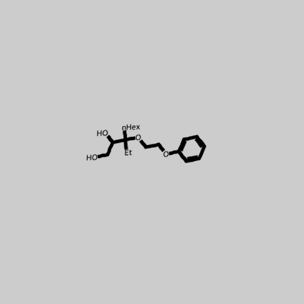 CCCCCCC(CC)(OCCOc1ccccc1)C(O)CO